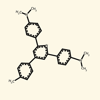 Cc1ccc(-c2cc(-c3ccc(N(C)C)cc3)nc(-c3ccc(N(C)C)cc3)c2)cc1